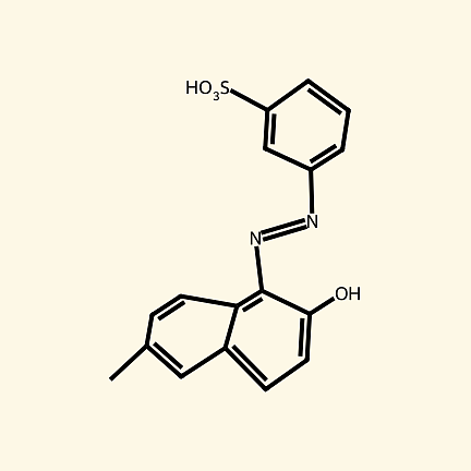 Cc1ccc2c(/N=N/c3cccc(S(=O)(=O)O)c3)c(O)ccc2c1